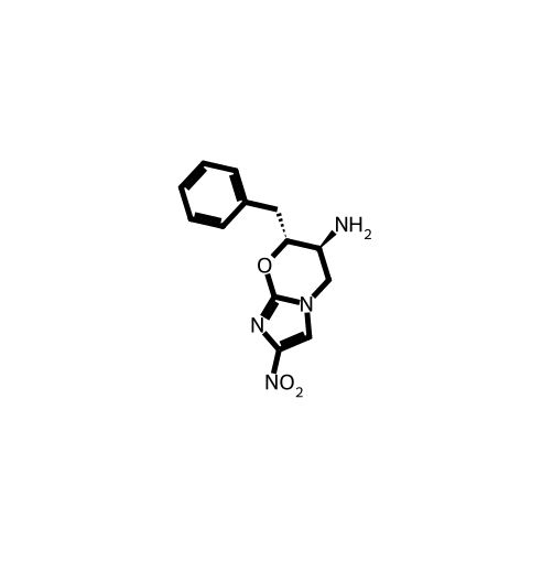 N[C@H]1Cn2cc([N+](=O)[O-])nc2O[C@@H]1Cc1ccccc1